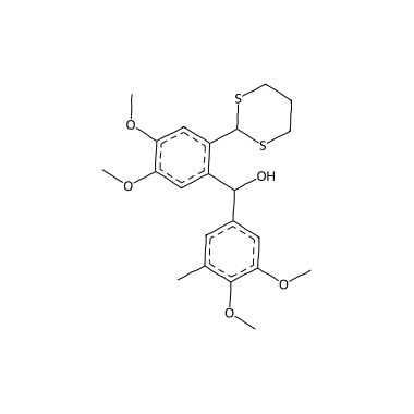 COc1cc(C2SCCCS2)c(C(O)c2cc(C)c(OC)c(OC)c2)cc1OC